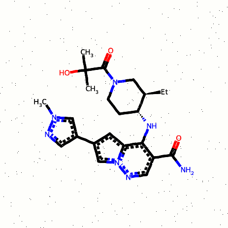 CC[C@@H]1CN(C(=O)C(C)(C)O)CC[C@H]1Nc1c(C(N)=O)cnn2cc(-c3cnn(C)c3)cc12